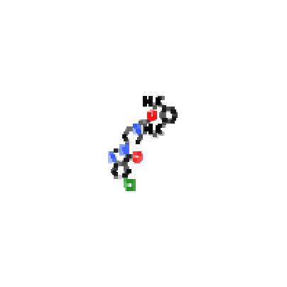 Cc1cccc(C)c1OCCN1CCC(n2cnc3ccc(Cl)cc3c2=O)CC1